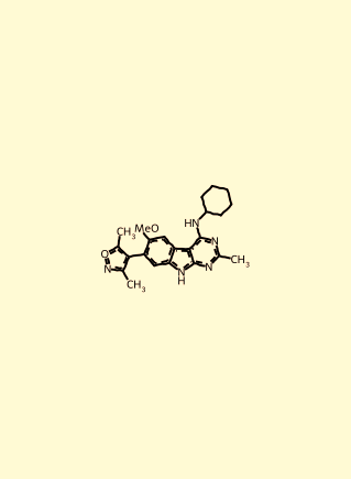 COc1cc2c(cc1-c1c(C)noc1C)[nH]c1nc(C)nc(NC3CCCCC3)c12